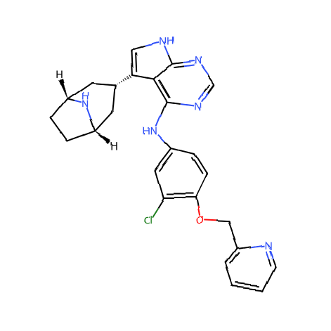 Clc1cc(Nc2ncnc3[nH]cc([C@H]4C[C@H]5CC[C@@H](C4)N5)c23)ccc1OCc1ccccn1